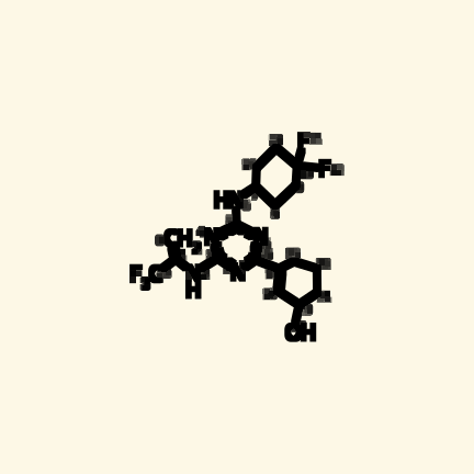 C=C(Nc1nc(NC2CCC(F)(F)CC2)nc(C2=CC(O)CCC2)n1)C(F)(F)F